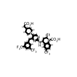 CC[C@@H]1C[C@H](Nc2ncc(N3CCC(CC(=O)O)CC3)c(Cc3cc(C(F)(F)F)cc(C(F)(F)F)c3)n2)c2cc(C(F)(F)F)ccc2N1C(=O)O